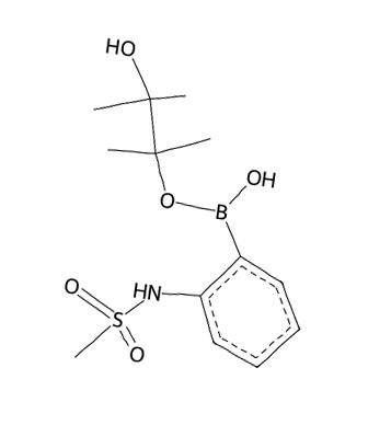 CC(C)(O)C(C)(C)OB(O)c1ccccc1NS(C)(=O)=O